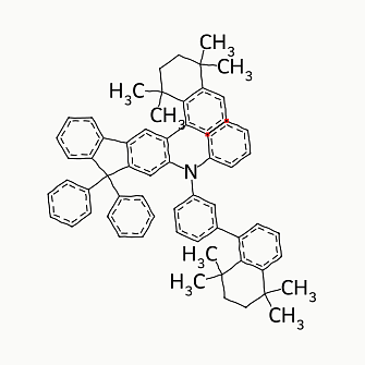 CC1(C)CCC(C)(C)c2c(-c3cccc(N(c4ccccc4)c4cc5c(cc4-c4cccc6c4C(C)(C)CCC6(C)C)-c4ccccc4C5(c4ccccc4)c4ccccc4)c3)cccc21